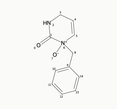 O=C1NCC=C[N+]1([O-])Cc1ccccc1